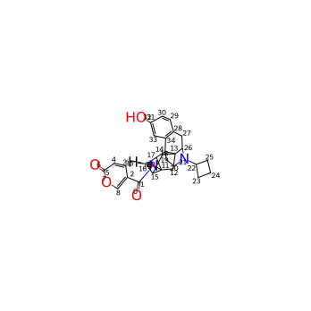 O=C(c1ccc(=O)oc1)N1CC23CC45CC2[C@@H]1C3C41CCN(C2CCC2)C5Cc2ccc(O)cc21